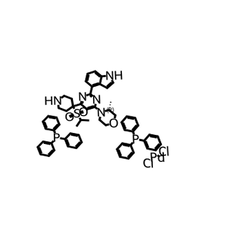 CC(C)S(=O)(=O)C1(c2cc(N3CCOC[C@H]3C)nc(-c3cccc4[nH]ccc34)n2)CCNCC1.[Cl][Pd][Cl].c1ccc(P(c2ccccc2)c2ccccc2)cc1.c1ccc(P(c2ccccc2)c2ccccc2)cc1